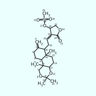 C=C1CCC2C3(C)COC(C)(C)OC3CCC2(C)C1C/C=C1\C(=O)OCC1OS(C)(=O)=O